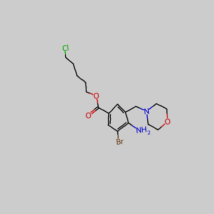 Nc1c(Br)cc(C(=O)OCCCCCCl)cc1CN1CCOCC1